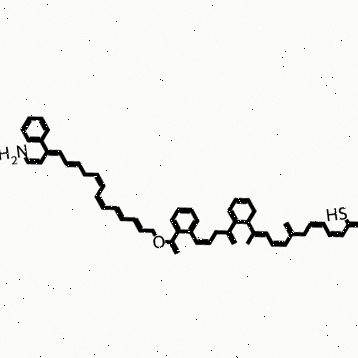 C=C(S)/C=C\C=C/CC(=C)/C=C\C=C(/C)C1CC=CC=C1C(=C)C/C=C\c1ccccc1C(=C)OC/C=C/C=C/C=C\C=C/C/C=C/C=C(\C=C/N)c1ccccc1